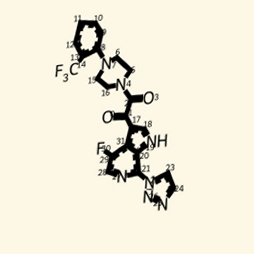 O=C(C(=O)N1CCN(c2ccccc2C(F)(F)F)CC1)c1c[nH]c2c(-n3ccnn3)ncc(F)c12